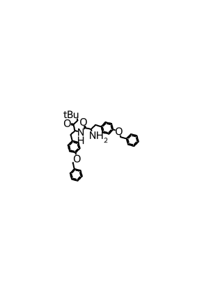 CC(C)(C)CC(=O)C(Cc1ccc(OCc2ccccc2)cc1)NC(=O)C(N)Cc1ccc(OCc2ccccc2)cc1